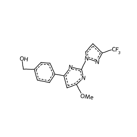 COc1cc(-c2ccc(CO)cc2)nc(-n2ccc(C(F)(F)F)n2)n1